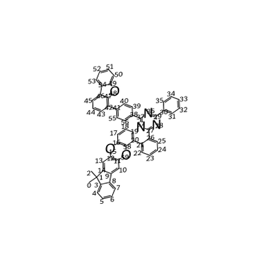 CC1(C)c2ccccc2-c2cc3c(cc21)Oc1cccc(-c2ccccc2-c2nc(-c4ccccc4)nc(-c4ccc(-c5cccc6c5oc5ccccc56)cc4)n2)c1O3